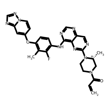 C=CC(=O)N1CCN(c2ncc3ncnc(Nc4ccc(Oc5ccn6ncnc6c5)c(C)c4F)c3n2)[C@H](C)C1